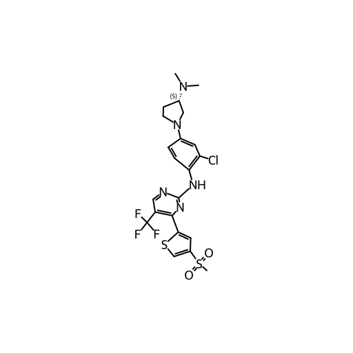 CN(C)[C@H]1CCN(c2ccc(Nc3ncc(C(F)(F)F)c(-c4cc(S(C)(=O)=O)cs4)n3)c(Cl)c2)C1